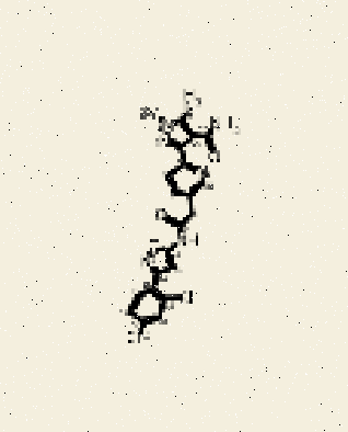 CC(C)n1nc(-c2ccc(CC(=O)Nc3cc(-c4ccc(Cl)cc4Cl)no3)cn2)c(C(N)=O)c1N